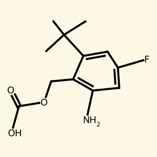 CC(C)(C)c1cc(F)cc(N)c1COC(=O)O